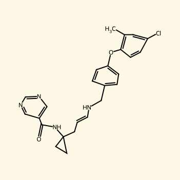 Cc1cc(Cl)ccc1Oc1ccc(CN/C=C/CC2(NC(=O)c3cncnc3)CC2)cc1